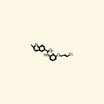 CCC=CCOc1cccc(NC(=O)c2ccc3nc(C)ccc3c2)c1F